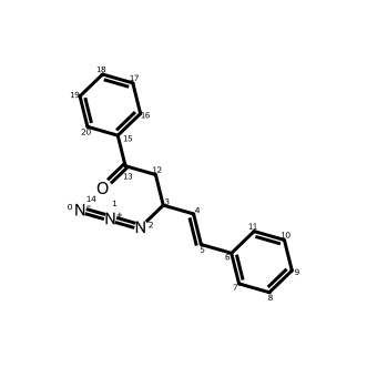 [N-]=[N+]=NC(C=Cc1ccccc1)CC(=O)c1ccccc1